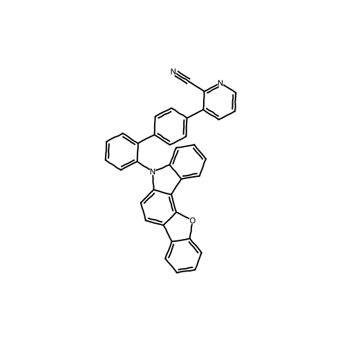 N#Cc1ncccc1-c1ccc(-c2ccccc2-n2c3ccccc3c3c4oc5ccccc5c4ccc32)cc1